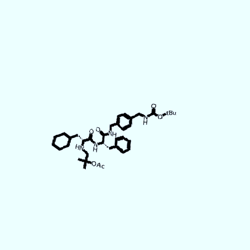 CC(=O)OC(C)(C)CN[C@H](CC1CCCCC1)C(=O)N[C@@H](Cc1ccccc1)C(=O)NCc1ccc(CNC(=O)OC(C)(C)C)cc1